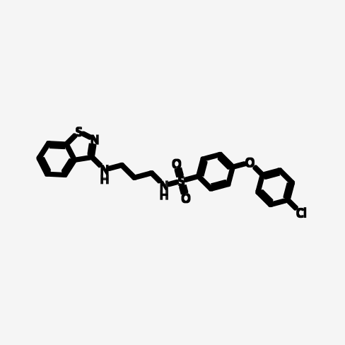 O=S(=O)(NCCCNc1nsc2ccccc12)c1ccc(Oc2ccc(Cl)cc2)cc1